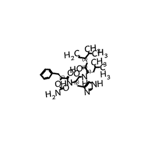 C=C[C@@H](C[C@H](O)[C@H](CC(C)C)NC(=O)[C@H](Cc1c[nH]cn1)NC(=O)[C@H](Cc1ccccc1)OC(N)=O)C(C)C